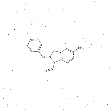 Nc1ccc2c(c1)CN(Cc1ccccc1)C2C=O